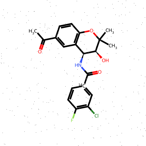 CC(=O)c1ccc2c(c1)[C@H](NC(=O)[14c]1ccc(F)c(Cl)c1)[C@H](O)C(C)(C)O2